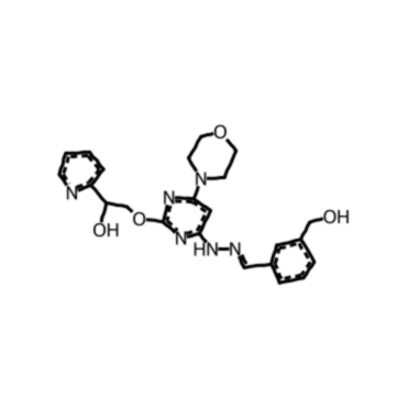 OCc1cccc(/C=N/Nc2cc(N3CCOCC3)nc(OCC(O)c3ccccn3)n2)c1